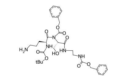 CC(C)(C)OC(=O)N[C@@H](CCCN)C(=O)N(C(=O)OCc1ccccc1)[C@@H](CO)C(=O)NCCNC(=O)OCc1ccccc1